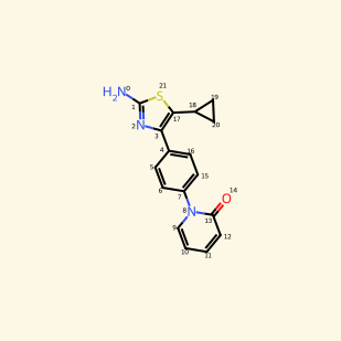 Nc1nc(-c2ccc(-n3ccccc3=O)cc2)c(C2CC2)s1